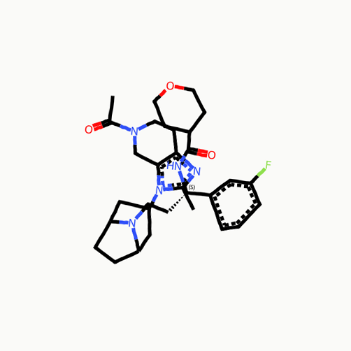 CC(=O)N1CCc2nc(C)n(C3CC4CCC(C3)N4CC[C@H](NC(=O)C3CCOCC3)c3cccc(F)c3)c2C1